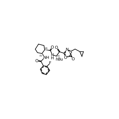 CCCC[C@H](NC(=O)[C@@H]1CCCC[C@@H]1NC(=O)c1ccccc1F)C(=O)c1nn(CC2CC2)c(=O)o1